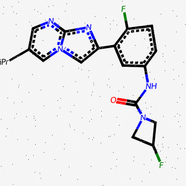 CC(C)c1cnc2nc(-c3cc(NC(=O)N4CC(F)C4)ccc3F)cn2c1